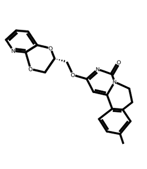 Cc1ccc2c(c1)CCn1c-2cc(OC[C@@H]2COc3ncccc3O2)nc1=O